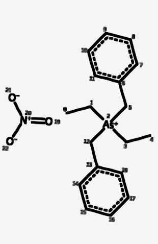 CC[As+](CC)(Cc1ccccc1)Cc1ccccc1.O=[N+]([O-])[O-]